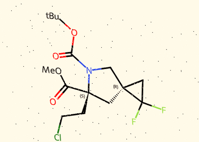 COC(=O)[C@@]1(CCCl)C[C@]2(CN1C(=O)OC(C)(C)C)CC2(F)F